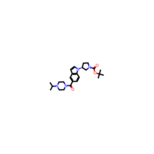 CC(C)N1CCN(C(=O)c2ccc3c(ccn3[C@H]3CCN(C(=O)OC(C)(C)C)C3)c2)CC1